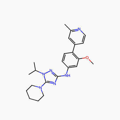 COc1cc(Nc2nc(N3CCCCC3)n(C(C)C)n2)ccc1-c1ccnc(C)c1